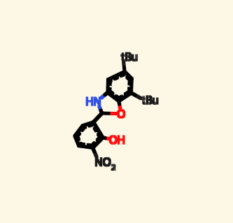 CC(C)(C)c1cc2c(c(C(C)(C)C)c1)OC(c1cccc([N+](=O)[O-])c1O)N2